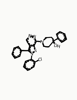 OC1(c2ccccc2)CCN(c2nncc3c(-c4ccccc4)n(-c4ccccc4Cl)nc23)CC1